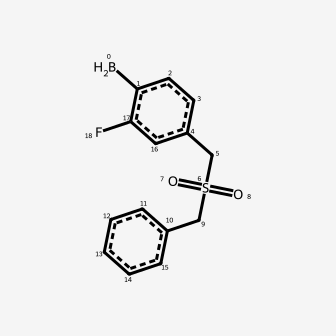 Bc1ccc(CS(=O)(=O)Cc2ccccc2)cc1F